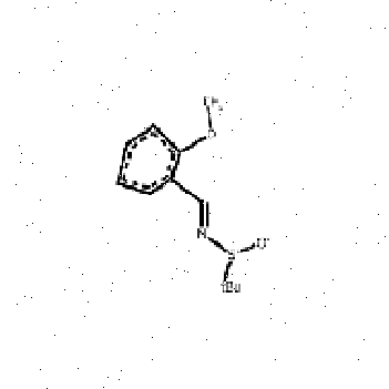 CC(C)(C)[S+]([O-])/N=C/c1ccccc1OC(F)(F)F